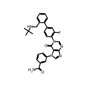 CC(C)(C)NCc1ccccc1-c1ccc(-n2cnc3ncn(-c4cccc(C(N)=O)c4)c3c2=O)c(F)c1